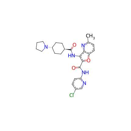 Cc1ccc2oc(C(=O)Nc3ccc(Cl)cn3)c(NC(=O)[C@H]3CC[C@H](N4CCCC4)CC3)c2n1